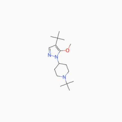 COc1c(C(C)(C)C)cnn1C1CCN(C(C)(C)C)CC1